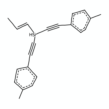 CC=C[SiH](C#Cc1ccc(C)cc1)C#Cc1ccc(C)cc1